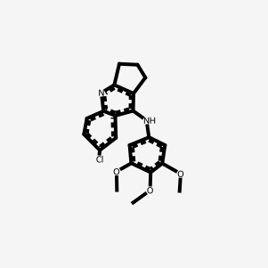 COc1cc(Nc2c3c(nc4ccc(Cl)cc24)CCC3)cc(OC)c1OC